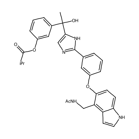 CC(=O)NCc1c(Oc2cccc(-c3ncc(C(C)(O)c4cccc(OC(=O)C(C)C)c4)[nH]3)c2)ccc2[nH]ccc12